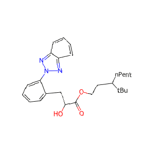 CCCCCC(CCOC(=O)C(O)Cc1ccccc1-n1nc2ccccc2n1)C(C)(C)C